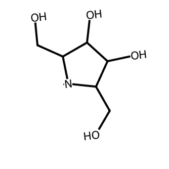 OCC1[N]C(CO)C(O)C1O